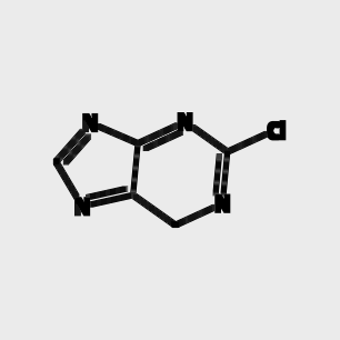 ClC1=NCC2=NC=NC2=N1